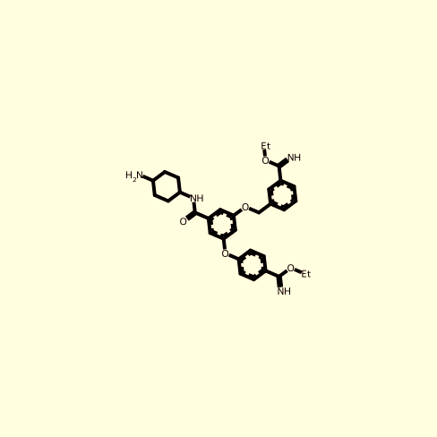 CCOC(=N)c1ccc(Oc2cc(OCc3cccc(C(=N)OCC)c3)cc(C(=O)NC3CCC(N)CC3)c2)cc1